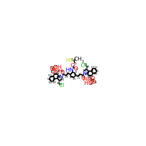 CC(S)COC(=O)Nc1cc(/C=C/C(=O)N2C[C@@H](CCl)c3c2cc(OP(=O)(O)O)c2ccccc32)ccc1/C=C/C(=O)N1C[C@@H](CCl)c2c1cc(OP(=O)(O)O)c1ccccc21